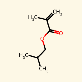 C=C(C)C(=O)OC[C](C)C